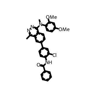 COc1ccc(N(C)c2nnc(C)c3cc(-c4ccc(NC(=O)c5ccccc5)c(Cl)c4)ccc23)c(OC)c1